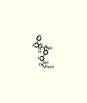 CCCCCC(=O)Nc1cncc(-c2ccc3[nH]nc(-c4nc5c(-c6ccncc6)cncc5[nH]4)c3c2)c1